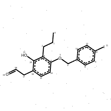 CCCc1c(OCc2ccc(I)cc2)ccc(CC=O)c1O